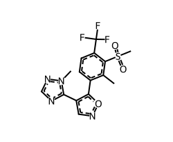 Cc1c(-c2oncc2-c2ncnn2C)ccc(C(F)(F)F)c1S(C)(=O)=O